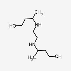 CC(CCO)NCCNC(C)CCO